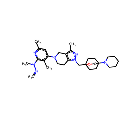 C=NN(C)c1nc(C)cc(N2CCc3c(c(C)nn3CC34CCC(N5CCCCC5)(CC3)CO4)C2)c1C